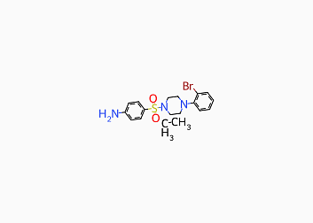 CC.Nc1ccc(S(=O)(=O)N2CCN(c3ccccc3Br)CC2)cc1